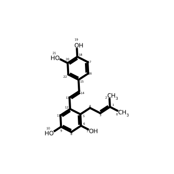 CC(C)=CCc1c(O)cc(O)cc1C=Cc1ccc(O)c(O)c1